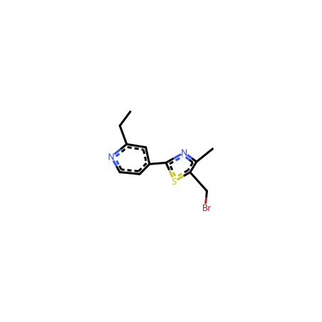 CCc1cc(-c2nc(C)c(CBr)s2)ccn1